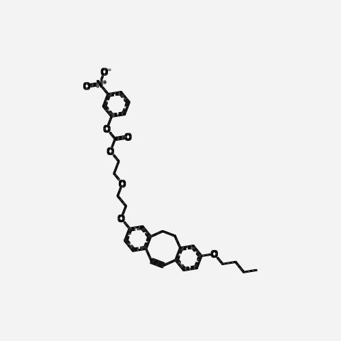 CCCCOc1ccc2c(c1)CCc1cc(OCCOCCOC(=O)Oc3cccc([N+](=O)[O-])c3)ccc1C#C2